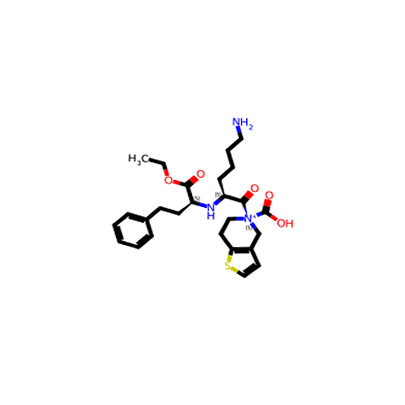 CCOC(=O)[C@H](CCc1ccccc1)N[C@@H](CCCCN)C(=O)[N@+]1(C(=O)O)CCc2sccc2C1